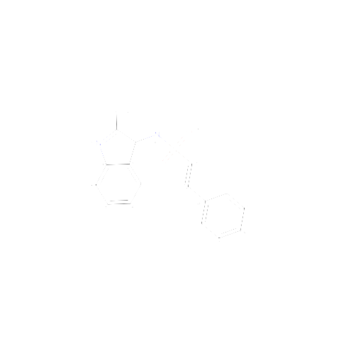 O=C(O)C1=Nc2ccccc2C1NS(=O)(=O)C=Cc1ccccc1